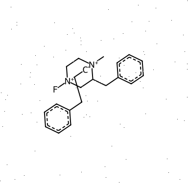 C[N+]12CC[N+](F)(CC1Cc1ccccc1)C(Cc1ccccc1)C2